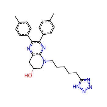 Cc1ccc(-c2nc3c(nc2-c2ccc(C)cc2)N(CCCCCc2nnn[nH]2)C[C@H](O)C3)cc1